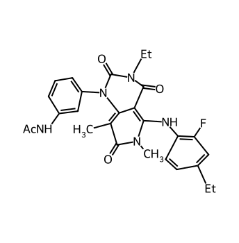 CCc1ccc(Nc2c3c(=O)n(CC)c(=O)n(-c4cccc(NC(C)=O)c4)c3c(C)c(=O)n2C)c(F)c1